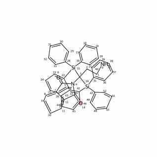 NCCC(N1C(=O)c2ccccc2C1=O)([Si](c1ccccc1)(c1ccccc1)c1ccccc1)[Si](c1ccccc1)(c1ccccc1)c1ccccc1